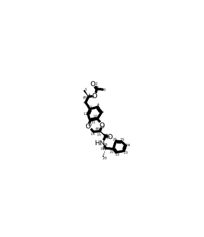 CC(=O)O[C@H](C)Cc1ccc2c(c1)OC[C@H](C(=O)N[C@@H](C)c1ccccc1)O2